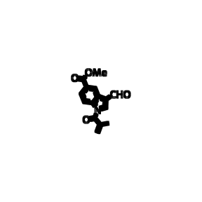 C=C(C)C(=O)n1cc(C=O)c2cc(C(=O)OC)ccc21